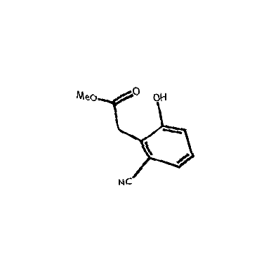 COC(=O)Cc1c(O)cccc1C#N